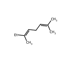 CCC(C)=CCC=C(C)C